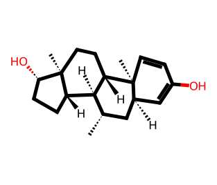 C[C@H]1C[C@@H]2C=C(O)C=C[C@]2(C)[C@H]2CC[C@]3(C)[C@@H](O)CC[C@H]3[C@H]12